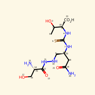 CC(O)[C@H](NC(=S)N[C@H](CNNC(=O)[C@@H](N)CO)CC(N)=O)C(=O)O